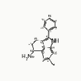 Cc1cc2c3c(c(-c4ccccc4)[nH]c3c1)CCC2N